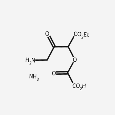 CCOC(=O)C(OC(=O)C(=O)O)C(=O)CN.N